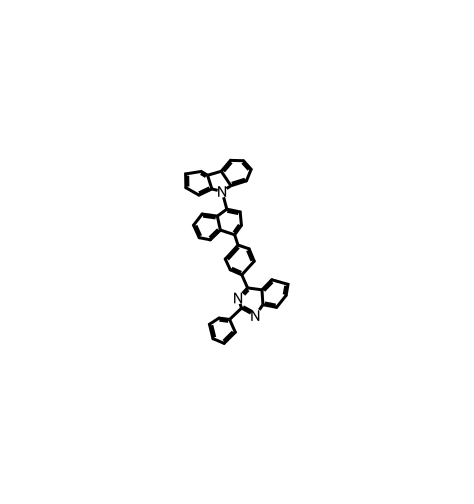 c1ccc(-c2nc(-c3ccc(-c4ccc(-n5c6ccccc6c6ccccc65)c5ccccc45)cc3)c3ccccc3n2)cc1